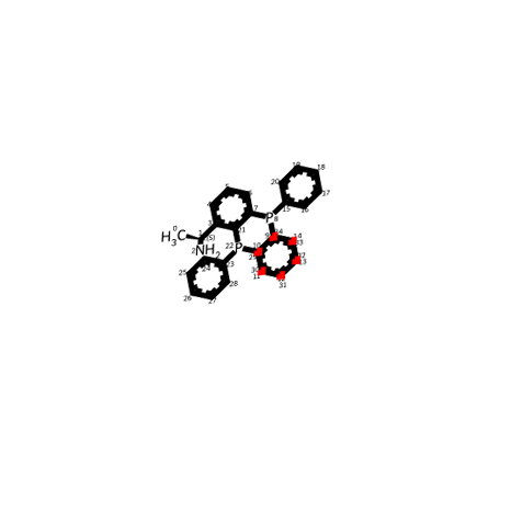 C[C@H](N)c1cccc(P(c2ccccc2)c2ccccc2)c1P(c1ccccc1)c1ccccc1